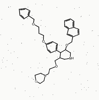 c1ccc(COCCCOc2ccc(C3C(COCCN4CCOCC4)CNCC3OCc3ccc4ccccc4c3)cc2)cc1